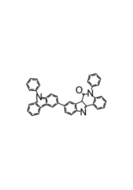 O=C1C2C(=Nc3ccc(-c4ccc5c(c4)c4ccccc4n5-c4ccccc4)cc32)c2ccccc2N1c1ccccc1